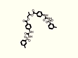 Cc1cccc(S(=O)(=O)NC(=O)Nc2ccc(C(=O)OCC(C)OC(=O)c3ccc(NC(=O)NS(=O)(=O)c4cccc(C)c4)cc3)cc2)c1